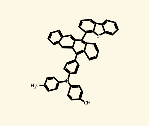 Cc1ccc(N(c2ccc(C)cc2)c2ccc(-c3c4ccccc4c(-c4cccc5c4sc4ccccc45)c4cc5ccccc5cc34)cc2)cc1